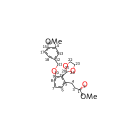 COC(=O)CCc1cccc(OCc2ccc(OC)cc2)c1C1OCCO1